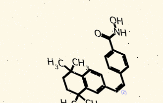 CC1(C)CCC(C)(C)c2cc(/C=C\c3ccc(C(=O)NO)cc3)ccc21